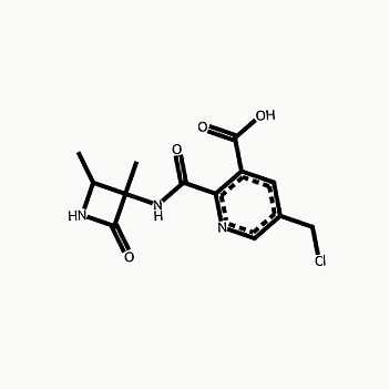 CC1NC(=O)C1(C)NC(=O)c1ncc(CCl)cc1C(=O)O